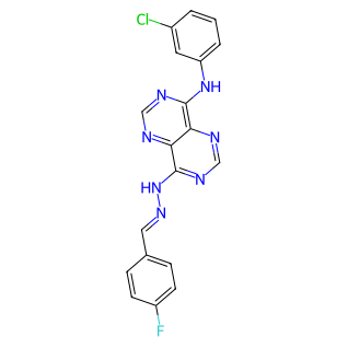 Fc1ccc(/C=N/Nc2ncnc3c(Nc4cccc(Cl)c4)ncnc23)cc1